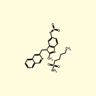 CCCCCS(N)(=O)=O.Cc1nc2ccc(N=S(=O)=O)cc2n1Cc1cc2ccccc2cn1